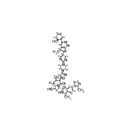 Cc1ncsc1-c1ccc([C@H](C)NC(=O)[C@@H]2C[C@@H](O)CN2C(=O)C(c2cc(N3CCN(c4ncc(-c5sc6nnc(-c7ccccc7O)cc6c5C)cn4)CC3)no2)C(C)C)cc1